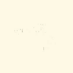 O=[N+]([O-])c1ccc(OP2(=O)OCCC(c3cc(Br)ccc3F)O2)cc1